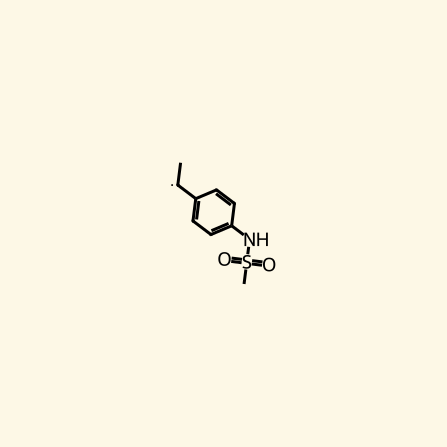 C[CH]c1ccc(NS(C)(=O)=O)cc1